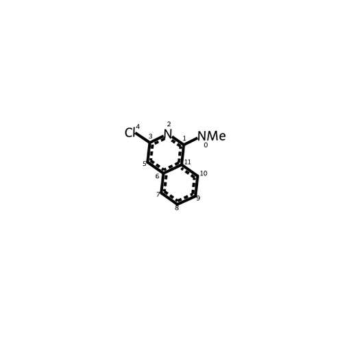 CNc1nc(Cl)cc2ccccc12